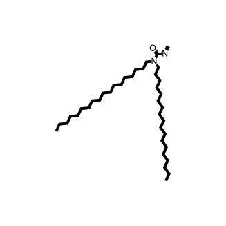 C=NC(=O)N(CCCCCCCCCCCCCCCCCC)CCCCCCCCCCCCCCCCCC